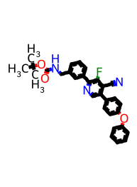 CC(C)(C)OC(=O)NCc1cccc(-c2ncc(-c3ccc(Oc4ccccc4)cc3)c(C#N)c2F)c1